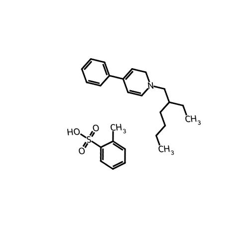 CCCCC(CC)CN1C=CC(c2ccccc2)=CC1.Cc1ccccc1S(=O)(=O)O